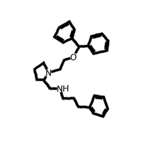 c1ccc(CCCNCC2CCCN2CCOC(c2ccccc2)c2ccccc2)cc1